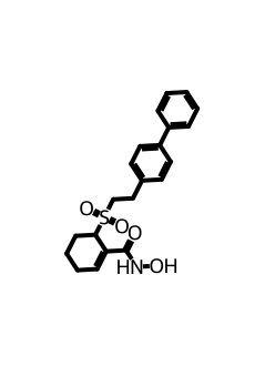 O=C(NO)C1=CCCCC1S(=O)(=O)CCc1ccc(-c2ccccc2)cc1